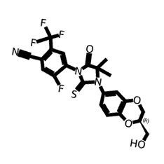 CC1(C)C(=O)N(c2cc(C(F)(F)F)c(C#N)cc2F)C(=S)N1c1ccc2c(c1)OC[C@@H](CO)O2